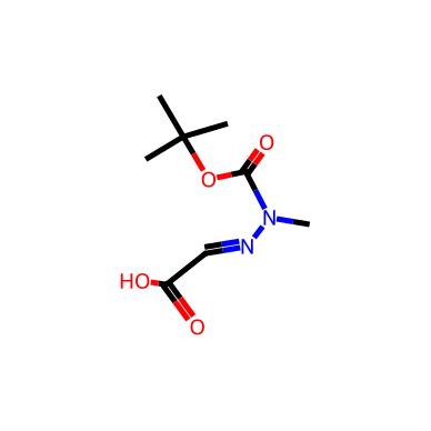 CN(N=CC(=O)O)C(=O)OC(C)(C)C